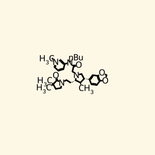 CCCCN(C(=O)CN1C[C@H](c2ccc3c(c2)OCO3)[C@@H](C)[C@@H]1CCN1CCC(C)(C)C1=O)c1ccc[n+](C)c1